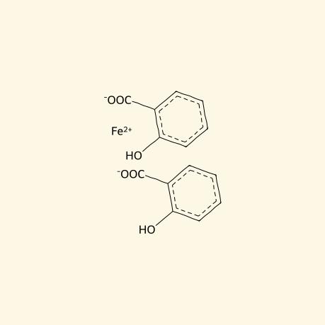 O=C([O-])c1ccccc1O.O=C([O-])c1ccccc1O.[Fe+2]